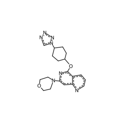 c1cnc2cc(N3CCOCC3)nc(OC3CCC(n4cnnn4)CC3)c2c1